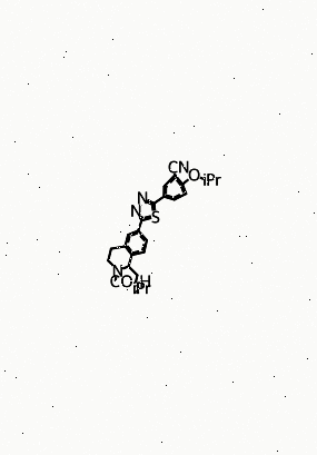 CC(C)CC1c2ccc(-c3nnc(-c4ccc(OC(C)C)c(C#N)c4)s3)cc2CCN1C(=O)O